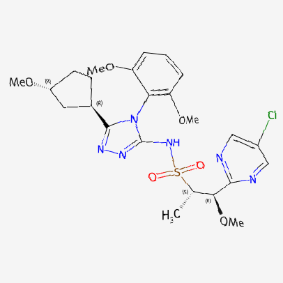 COc1cccc(OC)c1-n1c(NS(=O)(=O)[C@@H](C)[C@H](OC)c2ncc(Cl)cn2)nnc1[C@@H]1CC[C@@H](OC)C1